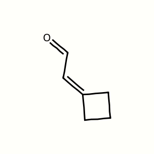 O=CC=C1CCC1